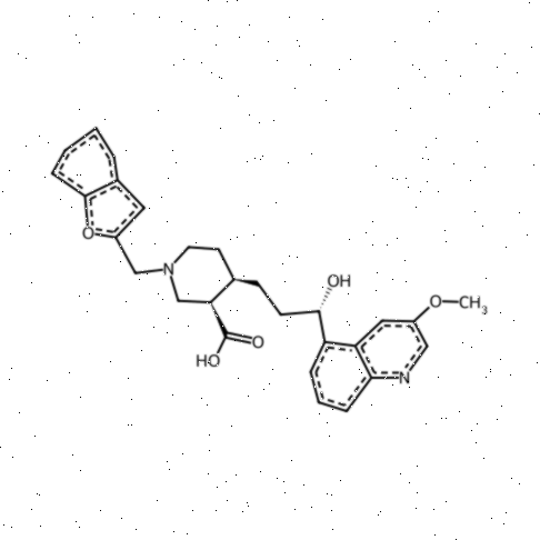 COc1cnc2cccc([C@@H](O)CC[C@@H]3CCN(Cc4cc5ccccc5o4)C[C@@H]3C(=O)O)c2c1